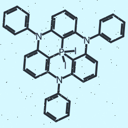 IP12(I)c3c4cccc3N(c3ccccc3)c3cccc(c31)N(c1ccccc1)c1cccc(c12)N4c1ccccc1